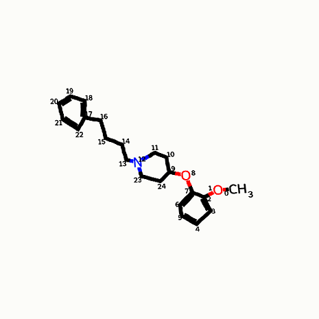 COc1ccccc1OC1CCN(CCCCc2ccccc2)CC1